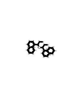 CCC(OC(CC)c1cccc2ccccc12)c1cccc2ccccc12